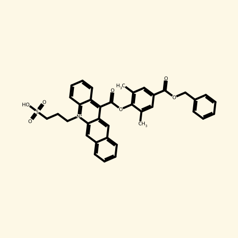 Cc1cc(C(=O)OCc2ccccc2)cc(C)c1OC(=O)c1c2ccccc2[n+](CCCS(=O)(=O)O)c2cc3ccccc3cc12